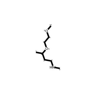 CNCCC(C)OCCOC